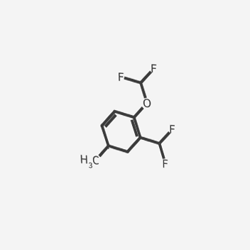 C[C]1C=CC(OC(F)F)=C(C(F)F)C1